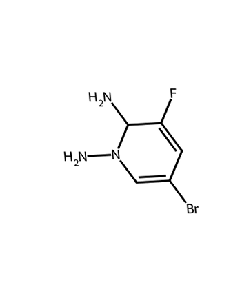 NC1C(F)=CC(Br)=CN1N